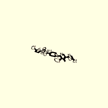 CCc1cnc(-c2cnc(N3CCC(C(=O)NS(=O)(=O)c4ccc(Cl)s4)CC3)c(Cl)c2C)o1